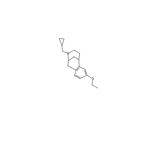 CCOc1ccc2c(c1)C1CCN(CC3CC3)C(C2)C1